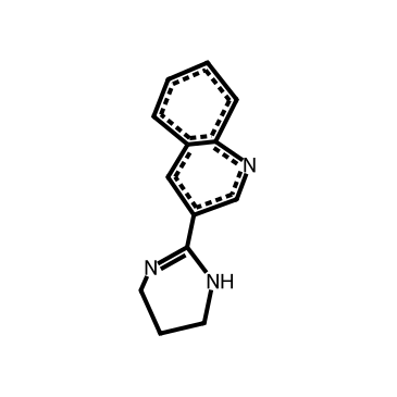 c1ccc2ncc(C3=NCCCN3)cc2c1